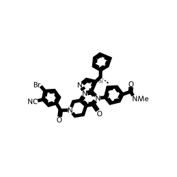 CNC(=O)c1ccc(-n2c(=O)c3c(n4ncc([C@@H](C)c5ccccc5)c24)CN(C(=O)c2ccc(Br)c(C#N)c2)CC3)cc1